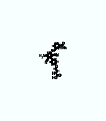 CNC(=O)c1cc(CSc2nc(N)c(C#N)c(-c3ccc(OCCNC(=O)O)cc3)c2C#N)ccn1